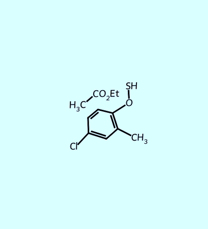 CCOC(C)=O.Cc1cc(Cl)ccc1OS